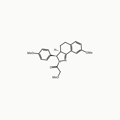 COCC(=O)N1N=C2c3cc(OC)ccc3CC[C@@H]2[C@@H]1c1ccc(OC)cc1